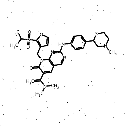 C=C(c1cc2cnc(Nc3ccc(C4CN(C)CCS4)cc3)nc2n(Cc2ccoc2S(=O)(=O)C(C)C)c1=O)N(C)C